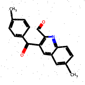 Cc1ccc(C(=O)c2cc3cc(C)ccc3nc2C=O)cc1